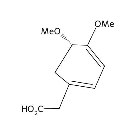 COC1=CC=C(CC(=O)O)C[C@@H]1OC